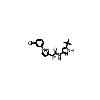 C[C@@H](C(=O)Nc1cc(C(C)(C)C)[nH]n1)c1ccn(-c2cccc(Cl)c2)n1